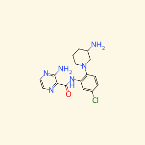 Nc1nccnc1C(=O)Nc1cc(Cl)ccc1N1CCCC(N)C1